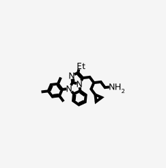 CCc1nc2n(-c3c(C)cc(C)cc3C)c3ccccc3n2c1CC(CCN)CC1CC1